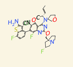 C/C=C/[C@H]1COc2c(Cl)c(-c3ccc(F)c4sc(N)c(C#N)c34)c(F)c3nc(OC[C@@]45CCCN4C[C@H](F)C5)nc(c23)N1C1CCOC1